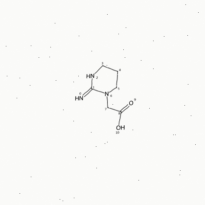 N=C1NCCCN1CC(=O)O